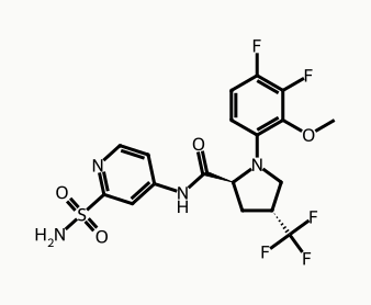 COc1c(N2C[C@H](C(F)(F)F)C[C@H]2C(=O)Nc2ccnc(S(N)(=O)=O)c2)ccc(F)c1F